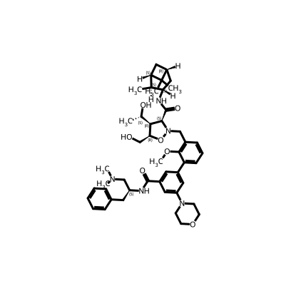 COc1c(CN2O[C@@H](CO)[C@@H]([C@H](C)O)[C@H]2C(=O)N[C@H]2C[C@H]3C[C@@H]([C@@H]2C)C3(C)C)cccc1-c1cc(C(=O)N[C@@H](Cc2ccccc2)CN(C)C)cc(N2CCOCC2)c1